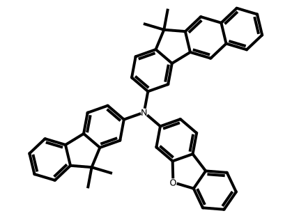 CC1(C)c2ccccc2-c2ccc(N(c3ccc4c(c3)-c3cc5ccccc5cc3C4(C)C)c3ccc4c(c3)oc3ccccc34)cc21